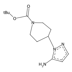 CC(C)(C)OC(=O)N1CCC(n2nccc2N)CC1